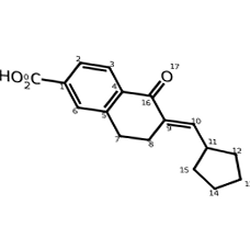 O=C(O)c1ccc2c(c1)CCC(=CC1CCCC1)C2=O